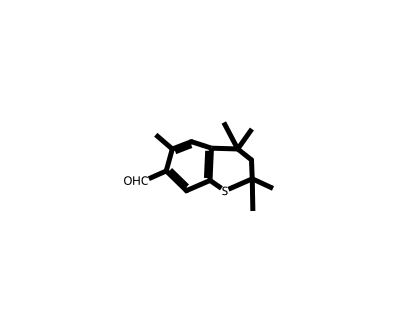 Cc1cc2c(cc1C=O)SC(C)(C)CC2(C)C